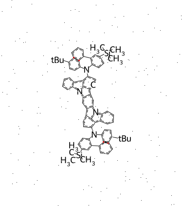 CC(C)(C)c1ccc(N(c2ccc([Si](C)(C)C)cc2-c2ccccc2)c2ccc3c4cc5c(cc4n4c6ccccc6c2c34)c2ccc(N(c3ccc(C(C)(C)C)cc3)c3ccc([Si](C)(C)C)cc3-c3ccccc3)c3c4ccccc4n5c23)cc1